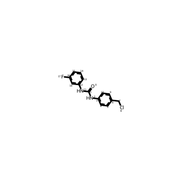 O=C(Nc1ccc(CCl)cc1)Nc1cccc(F)c1